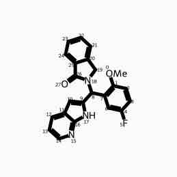 COc1ccc(F)cc1C(c1cc2cccnc2[nH]1)N1Cc2ccccc2C1=O